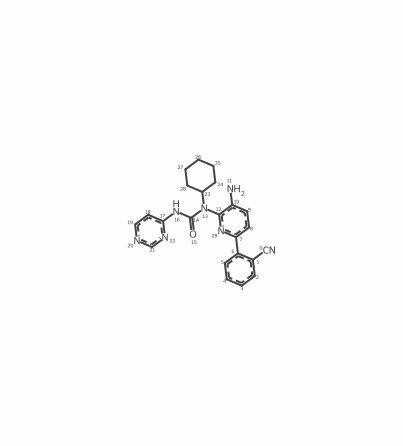 N#Cc1ccccc1-c1ccc(N)c(N(C(=O)Nc2ccncn2)C2CCCCC2)n1